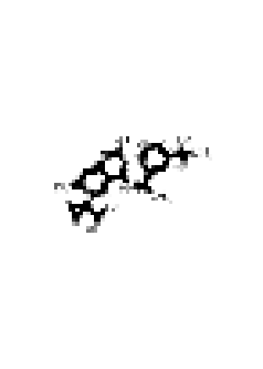 C=C1C=c2nc(C)nc(NC(C)c3cccc(C(C)(F)F)c3)c2=CN1C1(C(F)F)CC1